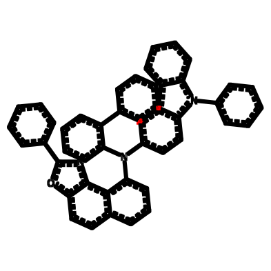 c1ccc(-c2nc3c(ccc4cccc(N(c5ccc6c(c5)c5ccccc5n6-c5ccccc5)c5ccccc5-c5ccccc5)c43)o2)cc1